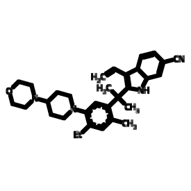 C=CC1=C(C(C)(C)c2cc(N3CCC(N4CCOCC4)CC3)c(CC)cc2C)NC2C=C(C#N)C=CC12